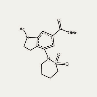 COC(=O)c1cc2c(c(N3CCCCS3(=O)=O)c1)CCN2C(C)=O